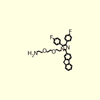 NCCOCCOCCn1c(-c2ccc3c(c2)Cc2ccccc2-3)nc(-c2ccc(F)cc2)c1-c1ccc(F)cc1